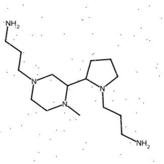 CN1CCN(CCCN)CC1C1CCCN1CCCN